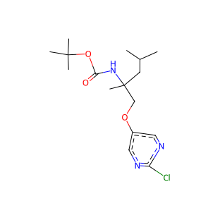 CC(C)CC(C)(COc1cnc(Cl)nc1)NC(=O)OC(C)(C)C